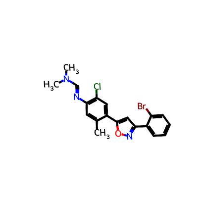 Cc1cc(N=CN(C)C)c(Cl)cc1-c1cc(-c2ccccc2Br)no1